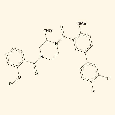 CCOc1ccccc1C(=O)N1CCN(C(=O)c2cc(-c3ccc(F)c(F)c3)ccc2NC)C(C=O)C1